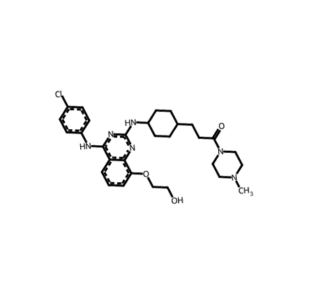 CN1CCN(C(=O)CCC2CCC(Nc3nc(Nc4ccc(Cl)cc4)c4cccc(OCCO)c4n3)CC2)CC1